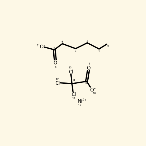 CCCCCC(=O)[O-].O=C([O-])C(Cl)(Cl)Cl.[Ni+2]